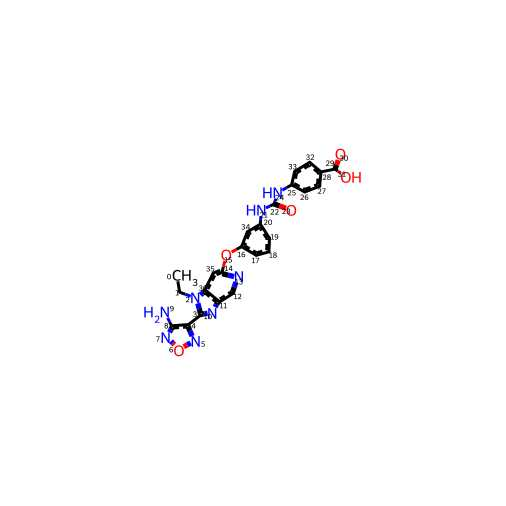 CCn1c(-c2nonc2N)nc2cnc(Oc3cccc(NC(=O)Nc4ccc(C(=O)O)cc4)c3)cc21